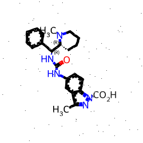 Cc1nn(C(=O)O)c2ccc(NC(=O)N[C@H](c3ccccc3)[C@H]3CCCCN3C)cc12